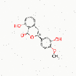 COc1ccc([C@@H]2Cc3cccc(O)c3C(=O)O2)cc1O